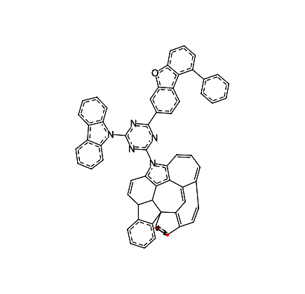 C1=Cc2c3c4c(n2-c2nc(-c5ccc6c(c5)oc5cccc(-c7ccccc7)c56)nc(-n5c6ccccc6c6ccccc65)n2)C=CC2c5ccccc5C5(C6=C(C=CC(=C1)C3=C6)c1ccccc15)C42